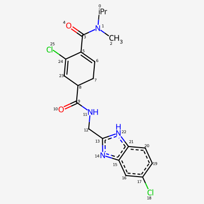 CC(C)N(C)C(=O)C1=CCC(C(=O)NCc2nc3cc(Cl)ccc3[nH]2)C=C1Cl